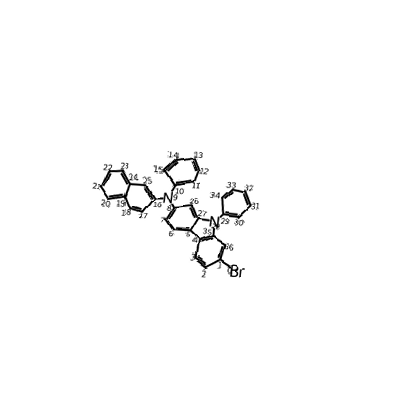 Brc1ccc2c3ccc(N(c4ccccc4)c4ccc5ccccc5c4)cc3n(-c3ccccc3)c2c1